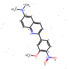 COc1cc(-c2ccc3cc(N(C)C)ccc3n2)ccc1[N+](=O)[O-]